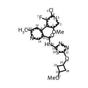 COc1cnc(Cl)c(F)c1-c1cc(C)ncc1C(=O)Nc1nnc(OC2CC(OC)C2)s1